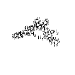 Cc1cc(-c2ncc3ccccc3n2)cc(C)c1-c1ccc(-n2c3ccccc3c3c4c5ccccc5n(-c5ccc(-c6c(C)cc(-c7ncc8ccccc8n7)cc6C)cc5)c4ccc32)cc1